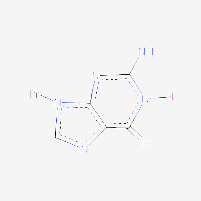 CC(C)n1cnc2c(=O)n(I)c(N)nc21